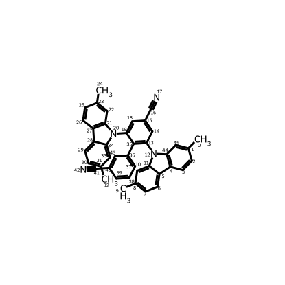 Cc1ccc2c3ccc(C)cc3n(-c3cc(C#N)cc(-n4c5cc(C)ccc5c5ccc(C)cc54)c3-c3cccc(C#N)c3)c2c1